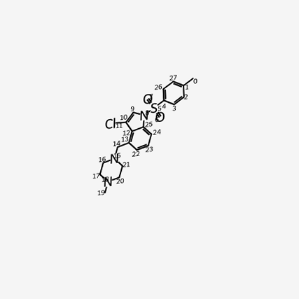 Cc1ccc(S(=O)(=O)n2cc(Cl)c3c(CN4CCN(C)CC4)cccc32)cc1